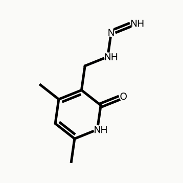 Cc1cc(C)c(CNN=N)c(=O)[nH]1